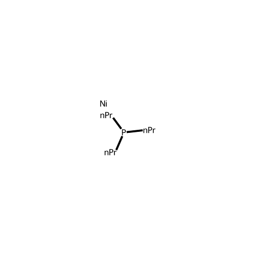 CCCP(CCC)CCC.[Ni]